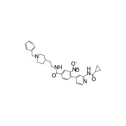 O=C(NCCC1CCN(Cc2ccccc2)CC1)c1ccc(-c2ccnc(NC(=O)C3CC3)c2)c([N+](=O)[O-])c1